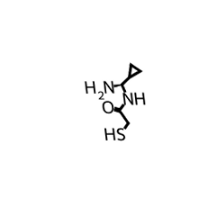 N[C@H](NC(=O)CS)C1CC1